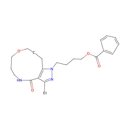 CCc1nn(CCCCOC(=O)c2ccccc2)c2c1C(=O)NCCCOCCC2